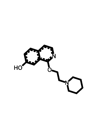 Oc1ccc2ccnc(OCCN3CCCCC3)c2c1